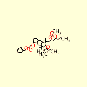 CCCCC[C@@H](CC[C@H]1C(O[Si](CC)(CC)CC)C[C@@H]2Cc3c(cccc3OCC(=O)OCc3ccccc3)C[C@@H]21)OC(=O)OC